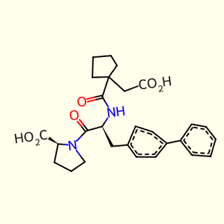 O=C(O)CC1(C(=O)N[C@@H](Cc2ccc(-c3ccccc3)cc2)C(=O)N2CCC[C@H]2C(=O)O)CCCC1